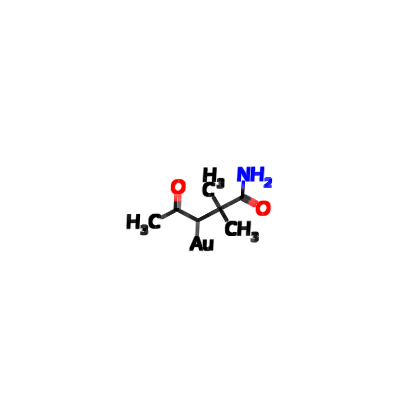 CC(=O)[CH]([Au])C(C)(C)C(N)=O